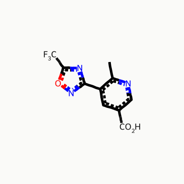 Cc1ncc(C(=O)O)cc1-c1noc(C(F)(F)F)n1